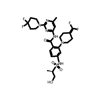 Cc1cc(NC(=O)c2ccc(NS(=O)(=O)[C@H](C)CO)cc2N2CCC(=C(F)F)CC2)nc(N2CCC(F)(F)CC2)n1